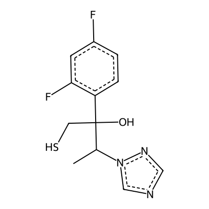 CC(n1cncn1)C(O)(CS)c1ccc(F)cc1F